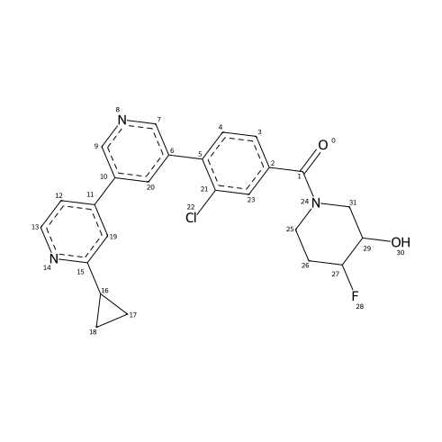 O=C(c1ccc(-c2cncc(-c3ccnc(C4CC4)c3)c2)c(Cl)c1)N1CCC(F)C(O)C1